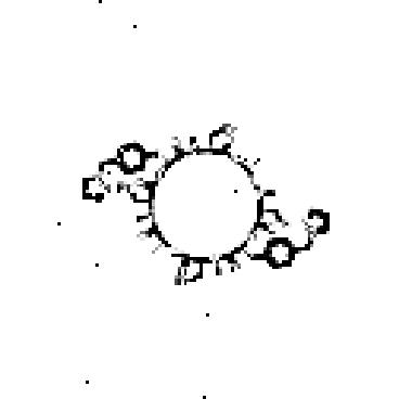 CC(C)C[C@H]1C(=O)O[C@H](Cc2ccc(Cn3cccn3)cc2)C(=O)N(C)[C@@H](CC(C)C)C(=O)O[C@H](C)C(=O)N(C)[C@@H](CC(C)C)C(=O)O[C@H](Cc2ccc(Cn3cccn3)cc2)C(=O)N(C)[C@@H](CC(C)C)C(=O)O[C@H](C)CN1C